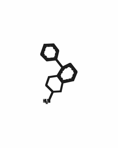 NC1CCc2c(cccc2-c2ccccc2)C1